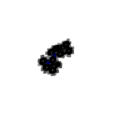 c1ccc(C2(c3ccccc3)c3ccccc3-c3ccc(N(c4ccc5c(c4)-n4c6ccccc6c6cccc(c64)C54c5ccccc5-c5ccccc54)c4cccc5ccccc45)cc32)cc1